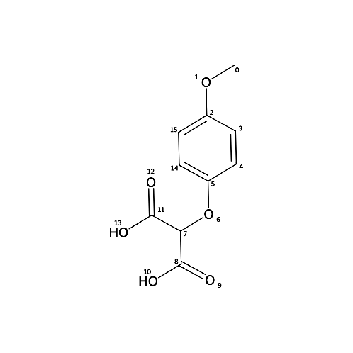 COc1ccc(OC(C(=O)O)C(=O)O)cc1